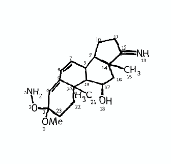 COC1(ON)C=C2C=CC3C4CCC(=N)C4(C)C[C@@H](O)C3C2(C)CC1